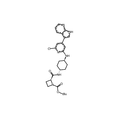 CC(C)(C)OC(=O)N1CC[C@H]1C(=O)N[C@H]1CC[C@H](Nc2cc(-c3c[nH]c4ncccc34)cc(Cl)n2)CC1